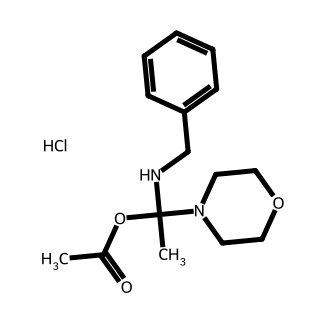 CC(=O)OC(C)(NCc1ccccc1)N1CCOCC1.Cl